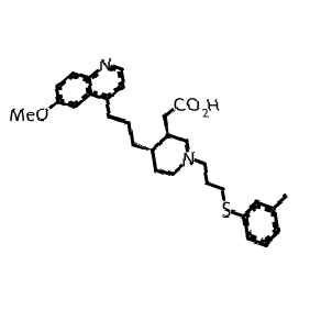 COc1ccc2nccc(CCC[C@@H]3CCN(CCCSc4cccc(C)c4)C[C@@H]3CC(=O)O)c2c1